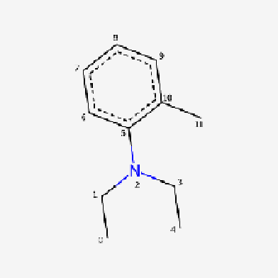 CCN(CC)c1ccccc1C